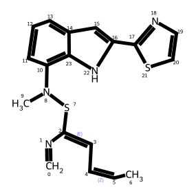 C=N/C(=C\C=C/C)SN(C)c1cccc2cc(-c3nccs3)[nH]c12